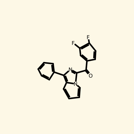 O=C(c1ccc(F)c(F)c1)c1nc(-c2ccccc2)c2ccccn12